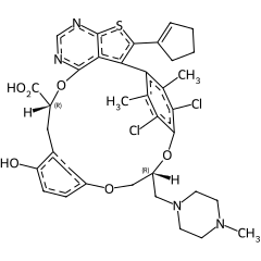 Cc1c(Cl)c2c(Cl)c(C)c1-c1c(C3=CCCC3)sc3ncnc(c13)O[C@@H](C(=O)O)Cc1cc(ccc1O)OC[C@@H](CN1CCN(C)CC1)O2